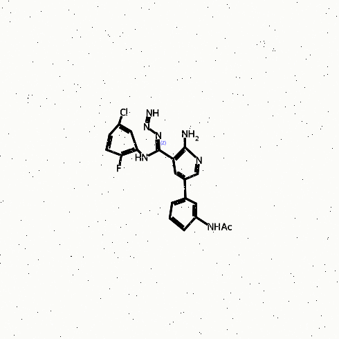 CC(=O)Nc1cccc(-c2cnc(N)c(/C(=N/N=N)Nc3cc(Cl)ccc3F)c2)c1